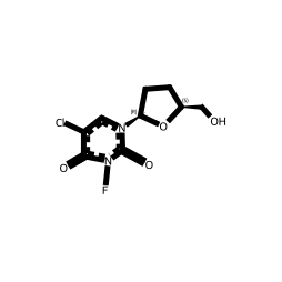 O=c1c(Cl)cn([C@H]2CC[C@@H](CO)O2)c(=O)n1F